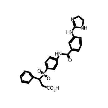 O=C(O)CC(c1ccccc1)S(=O)(=O)c1ccc(NC(=O)c2cccc(NC3=NCCN3)c2)cc1